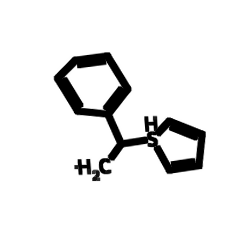 [CH2]C(c1ccccc1)[SH]1C=CC=C1